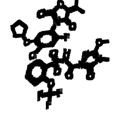 CC(C)=C1OC(=O)N(c2cc(OC3CCCC3)c(Cl)cc2F)C1=O.COc1nn(C(=O)NS(=O)(=O)c2ccccc2OC(F)(F)F)c(=O)n1C